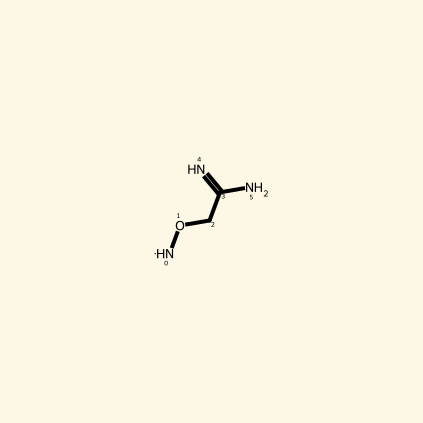 [NH]OCC(=N)N